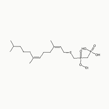 CCOP(=O)(CSCC=C(C)CCC=C(C)CCC=C(C)C)CP(=O)(O)O